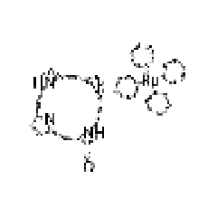 C1=Cc2cc3ccc(cc4nc(cc5ccc(cc1n2)[nH]5)C=C4)[nH]3.[C]=O.c1cc[c]([Ru]([c]2ccccc2)([c]2ccccc2)[c]2ccccc2)cc1